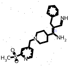 CS(=O)(=O)c1cc(CN2CCC(/C(N)=C(/C=N)Cc3ccccc3)CC2)ccn1